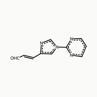 O=C/C=C/c1cn(-c2ncccn2)cn1